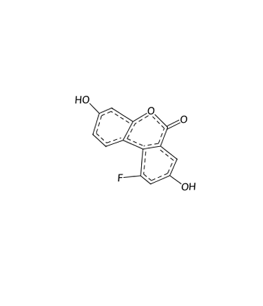 O=c1oc2cc(O)ccc2c2c(F)cc(O)cc12